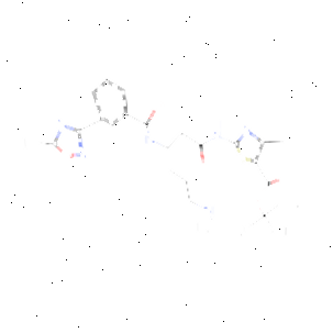 CNCCC[C@@H](CC(=O)Nc1nc(C)c(C(=O)OC(C)(C)C)s1)NC(=O)c1cccc(-c2noc(C)n2)c1